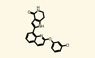 O=C1NCCc2[nH]c(-c3cccc4ccc(Oc5cccc(Cl)c5)nc34)cc21